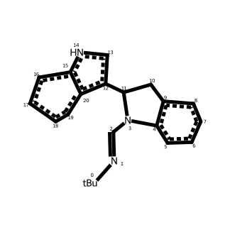 CC(C)(C)/N=C/N1c2ccccc2CC1c1c[nH]c2ccccc12